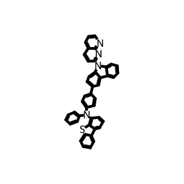 c1ccc(N(c2ccc(-c3ccc4c(c3)c3ccccc3n4-c3ccc4cccnc4n3)cc2)c2cccc3c2sc2ccccc23)cc1